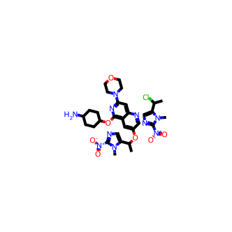 CC(Cl)c1cnc([N+](=O)[O-])n1C.CC(Oc1cnc2cc(N3CCOCC3)nc(OC3CCC(N)CC3)c2c1)c1cnc([N+](=O)[O-])n1C